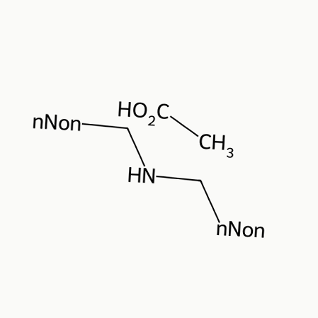 CC(=O)O.CCCCCCCCCCNCCCCCCCCCC